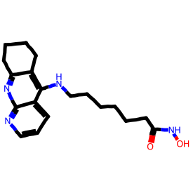 O=C(CCCCCCNc1c2c(nc3ncccc13)CCCC2)NO